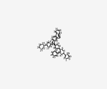 c1ccc(-c2ccc(-c3ccc(N(c4ccc(C5CCCCC5)cc4)c4ccc5c(c4)sc4ccccc45)cc3)c(-c3ccccc3)c2)cc1